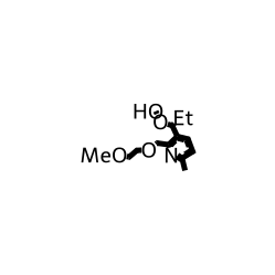 CCC(OO)c1ccc(C)nc1COCCOC